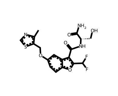 Cc1ncsc1COc1ccc2oc(C(F)F)c(C(=O)N[C@@H](CO)C(N)=O)c2c1